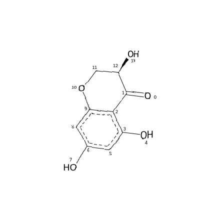 O=C1c2c(O)cc(O)cc2OC[C@H]1O